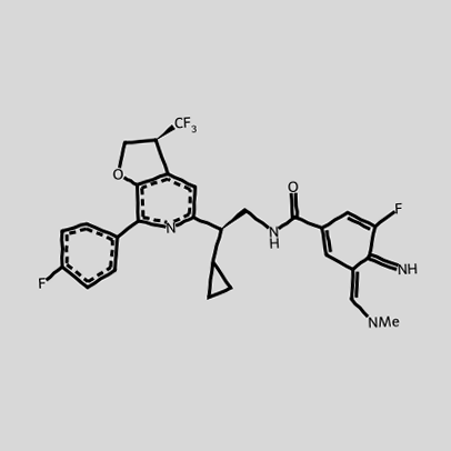 CN/C=C1/C=C(C(=O)NC[C@H](c2cc3c(c(-c4ccc(F)cc4)n2)OC[C@H]3C(F)(F)F)C2CC2)C=C(F)C1=N